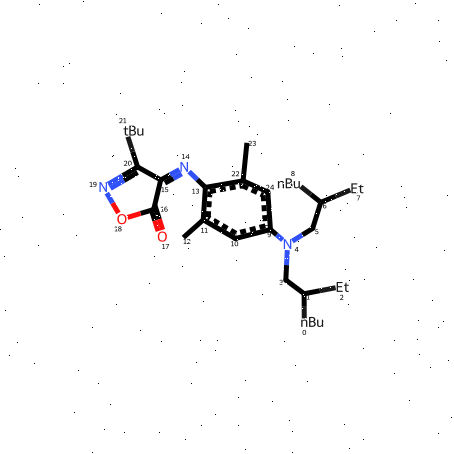 CCCCC(CC)CN(CC(CC)CCCC)c1cc(C)c(N=C2C(=O)ON=C2C(C)(C)C)c(C)c1